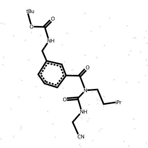 CC(C)CCN(C(=O)NCC#N)C(=O)c1cccc(CNC(=O)OC(C)(C)C)c1